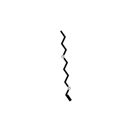 C=COCCCCOCCCC